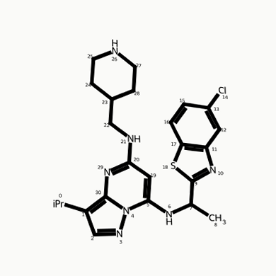 CC(C)c1cnn2c(NC(C)c3nc4cc(Cl)ccc4s3)cc(NCC3CCNCC3)nc12